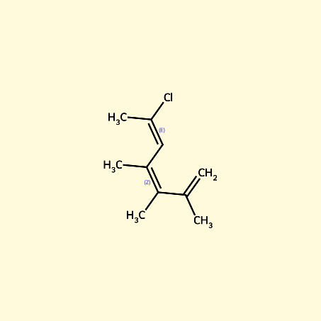 C=C(C)/C(C)=C(C)\C=C(/C)Cl